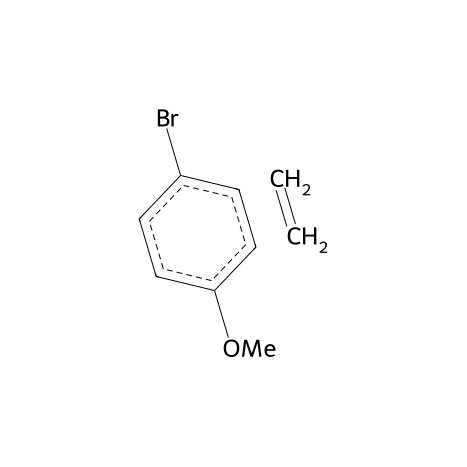 C=C.COc1ccc(Br)cc1